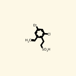 C=Cc1cc(CC)cc(Cl)c1CCS(=O)(=O)O